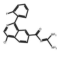 NC(N)=NC(=O)c1ccc2c(Cl)cnc(-c3ccccc3F)c2c1